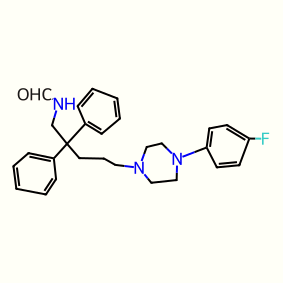 O=CNCC(CCCN1CCN(c2ccc(F)cc2)CC1)(c1ccccc1)c1ccccc1